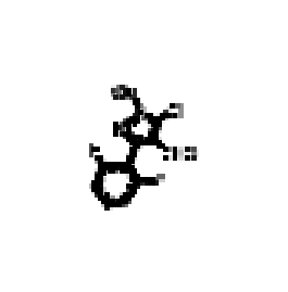 CC(C)(C)n1nc(-c2c(F)cccc2F)c(C=O)c1Cl